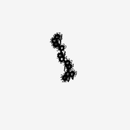 c1cc(-c2ccc3ccc(-c4ccc5ccc(-c6cc7cccnc7c7ncccc67)nc5c4)cc3n2)cc(-c2ccc3ccc4cccnc4c3n2)c1